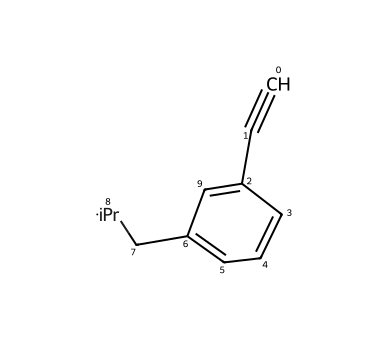 C#Cc1cccc(C[C](C)C)c1